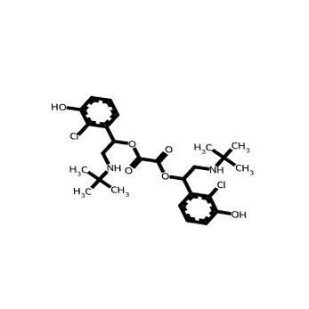 CC(C)(C)NCC(OC(=O)C(=O)OC(CNC(C)(C)C)c1cccc(O)c1Cl)c1cccc(O)c1Cl